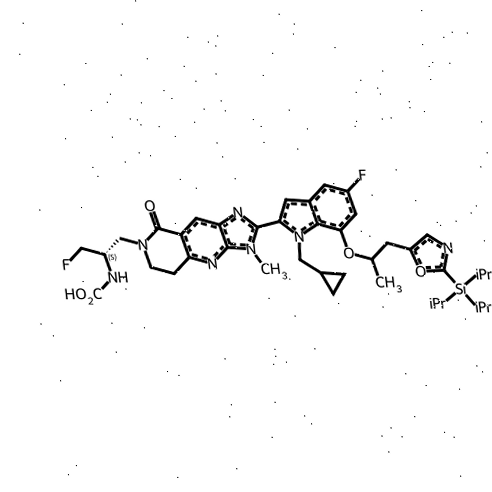 CC(Cc1cnc([Si](C(C)C)(C(C)C)C(C)C)o1)Oc1cc(F)cc2cc(-c3nc4cc5c(nc4n3C)CCN(C[C@@H](CF)NC(=O)O)C5=O)n(CC3CC3)c12